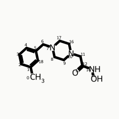 Cc1cccc(CN2CCN(CC(=O)NO)CC2)c1